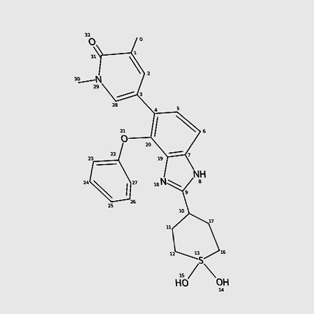 Cc1cc(-c2ccc3[nH]c(C4CCS(O)(O)CC4)nc3c2Oc2ccccc2)cn(C)c1=O